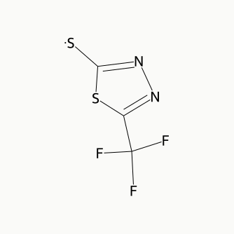 FC(F)(F)c1nnc([S])s1